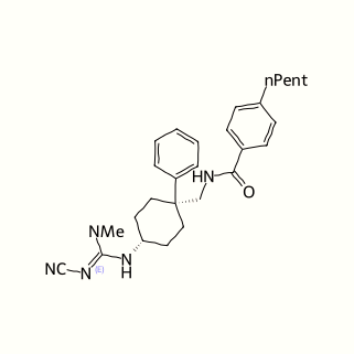 CCCCCc1ccc(C(=O)NC[C@]2(c3ccccc3)CC[C@H](N/C(=N/C#N)NC)CC2)cc1